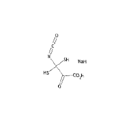 O=C=NC(S)(S)C(=O)C(=O)O.[NaH]